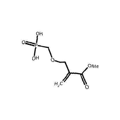 C=C(COCP(=O)(O)O)C(=O)OC